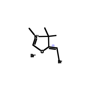 C[N+]1=CO/C(=C\Br)C1(C)C.[Br-]